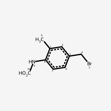 Cc1cc(CBr)ccc1NC(=O)O